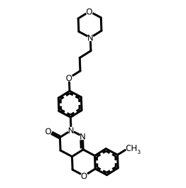 Cc1ccc2c(c1)C1=NN(c3ccc(OCCCN4CCOCC4)cc3)C(=O)CC1CO2